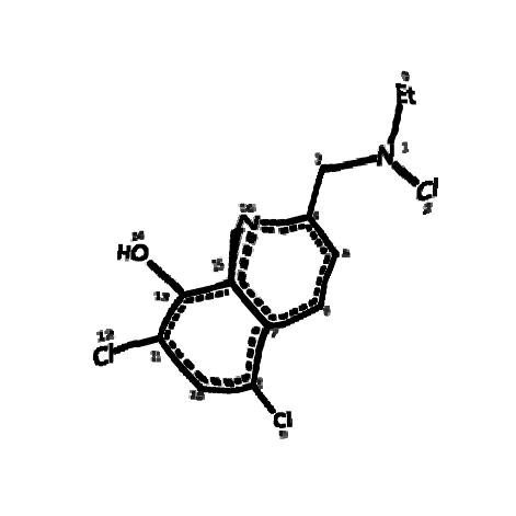 CCN(Cl)Cc1ccc2c(Cl)cc(Cl)c(O)c2n1